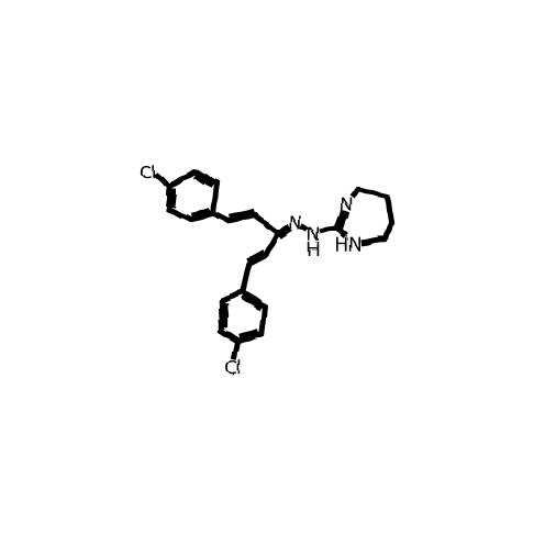 Clc1ccc(C=CC(C=Cc2ccc(Cl)cc2)=NNC2=NCCCCN2)cc1